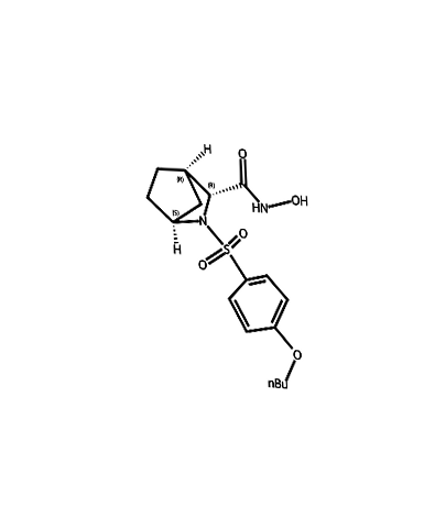 CCCCOc1ccc(S(=O)(=O)N2[C@H]3CC[C@H](C3)[C@@H]2C(=O)NO)cc1